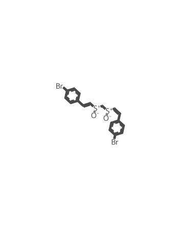 [O-][S+](/C=C\c1ccc(Br)cc1)C[S+]([O-])/C=C/c1ccc(Br)cc1